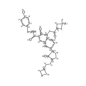 CC1(F)CN(C(=O)Cn2c(=O)c(C(=O)NCc3ccc(Cl)cc3)cc3nc(N4CCN(CCN5CCC5)C4=O)cnc32)C1